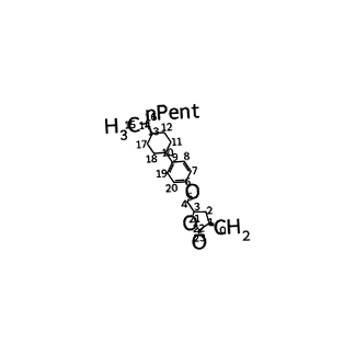 C=C1CC(COc2ccc(C3CCC(C(C)CCCCC)CC3)cc2)OC1=O